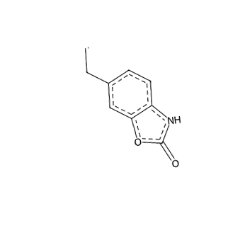 [CH2]Cc1ccc2[nH]c(=O)oc2c1